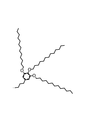 [CH2]CCCc1cc(OCCCCCCCCCCCCC)c(OCCCCCCCCCCCCC)c(OCCCCCCCCCCCCC)c1